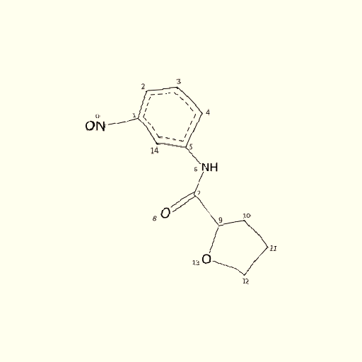 O=Nc1cccc(NC(=O)C2CCCO2)c1